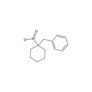 O=[N+]([O-])C1(Cc2ccccc2)CCCCC1